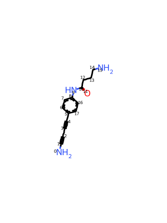 NC#CC#Cc1ccc(NC(=O)CCCN)cc1